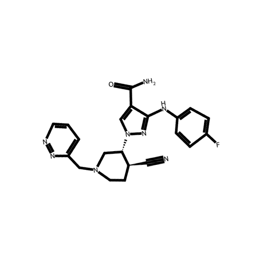 N#C[C@H]1CCN(Cc2cccnn2)C[C@@H]1n1cc(C(N)=O)c(Nc2ccc(F)cc2)n1